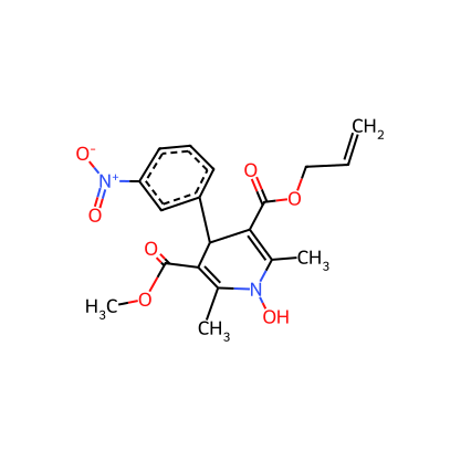 C=CCOC(=O)C1=C(C)N(O)C(C)=C(C(=O)OC)C1c1cccc([N+](=O)[O-])c1